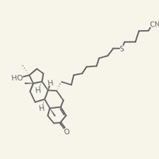 C[C@]12CCC(=O)C=C1C[C@@H](CCCCCCCCCSCCCCC#N)[C@@H]1[C@@H]2CC[C@@]2(C)[C@H]1CC[C@]2(C)O